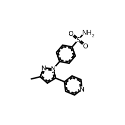 Cc1cc(-c2ccncc2)n(-c2ccc(S(N)(=O)=O)cc2)n1